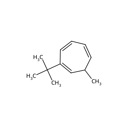 CC1C=CC=CC(C(C)(C)C)=C1